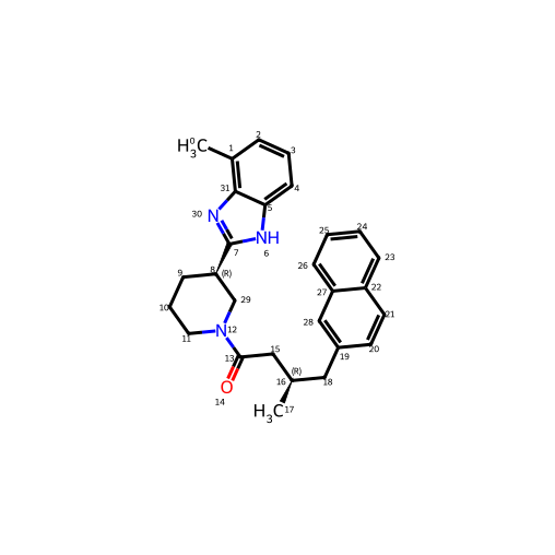 Cc1cccc2[nH]c([C@@H]3CCCN(C(=O)C[C@H](C)Cc4ccc5ccccc5c4)C3)nc12